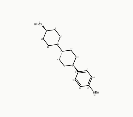 CCCCCC[C@H]1CC[C@H]([C@H]2CC[C@H](c3ccc(CCCC)cc3)CC2)CC1